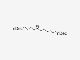 CCC.CCCCCCCCCCCCCCCCCCCCCCCCCCCCCCC